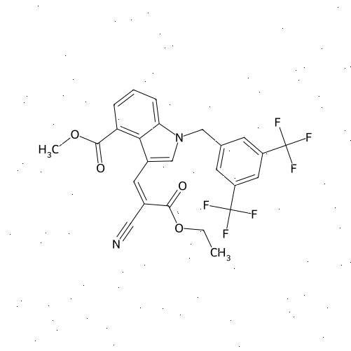 CCOC(=O)C(C#N)=Cc1cn(Cc2cc(C(F)(F)F)cc(C(F)(F)F)c2)c2cccc(C(=O)OC)c12